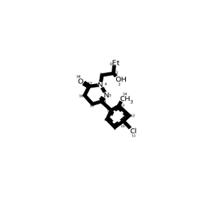 CCC(O)CN1N=C(c2ccc(Cl)cc2C)CCC1=O